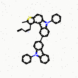 C=C/C=C\c1c(C)sc2ccc3c(c4cc(-c5ccc6c(c5)c5ccccc5n6-c5ccccc5)ccc4n3-c3ccccc3)c12